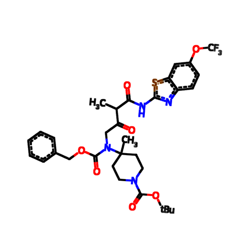 CC(C(=O)CN(C(=O)OCc1ccccc1)C1(C)CCN(C(=O)OC(C)(C)C)CC1)C(=O)Nc1nc2ccc(OC(F)(F)F)cc2s1